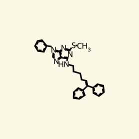 CSc1nc(NCCCCC=C(c2ccccc2)c2ccccc2)c2ncn(Cc3ccccc3)c2n1